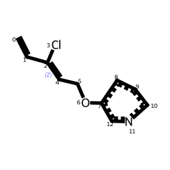 C=C/C(Cl)=C/COc1cccnc1